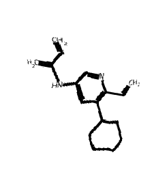 C=CC(=C)Nc1cnc(C=C)c(C2CCCCC2)c1